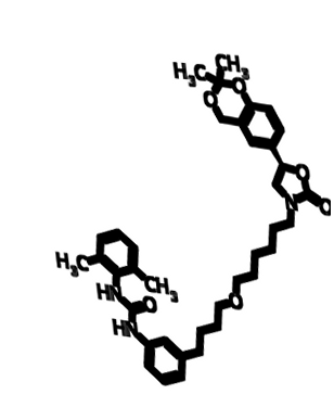 Cc1cccc(C)c1NC(=O)Nc1cccc(CCCCOCCCCCCN2C[C@@H](c3ccc4c(c3)COC(C)(C)O4)OC2=O)c1